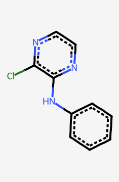 Clc1nccnc1Nc1ccccc1